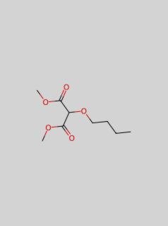 CCCCOC(C(=O)OC)C(=O)OC